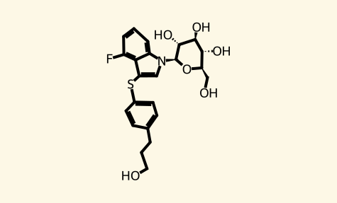 OCCCc1ccc(Sc2cn([C@@H]3O[C@H](CO)[C@@H](O)[C@H](O)[C@H]3O)c3cccc(F)c23)cc1